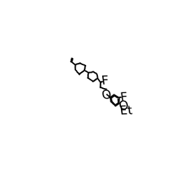 C=CC1CCC(C2CCC(C(F)CCOc3ccc(OCC)c(F)c3)CC2)CC1